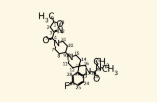 CC1CC(C(=O)N2CCC(N3CCC4(CC3)CN(C(=O)N(C)C)c3ccc(F)cc34)CC2)=NO1